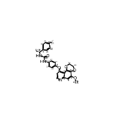 CCOc1cc2nccc(Oc3ccc(NC(=O)N[C@@H](C)c4ccc(F)cc4)cc3)c2c2c1OCCO2